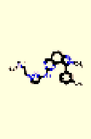 Cc1cccc(-c2c3c(nn2C)CCc2cnc(Nc4ccn(CCN(C)C)n4)nc2-3)c1